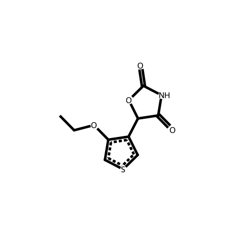 CCOc1cscc1C1OC(=O)NC1=O